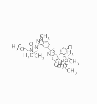 CCOC(=O)[C@@H](OC(C)(C)C)c1c(C)cc2nc(-c3ccc4c(c3)c(N3CC(C)(C)N(CCOC)C3=O)nn4C)sc2c1-c1ccc(Cl)cc1